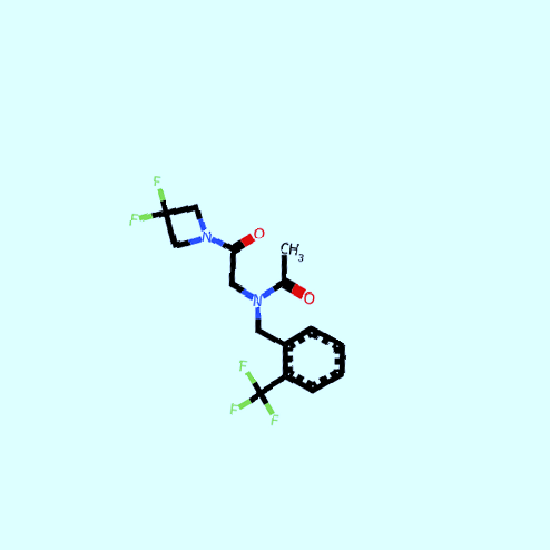 CC(=O)N(CC(=O)N1CC(F)(F)C1)Cc1ccccc1C(F)(F)F